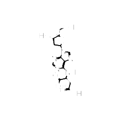 O=C(O)C[C@H](Nc1ncnc2c1ncn2C1C[C@H](O)[C@@H](CO)O1)C(=O)O